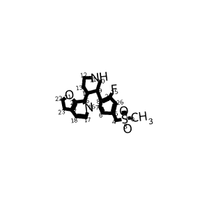 CS(=O)(=O)Cc1ccc(C2CNCCC2c2nccc3c2OCC3)c(F)c1